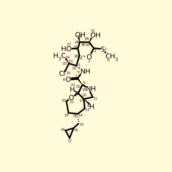 CSC1O[C@H]([C@H](NC(=O)[C@H]2NC[C@@H]3C[C@H](CC4CC4)CCO[C@H]32)[C@H](C)Cl)C(O)[C@@H](O)[C@H]1O